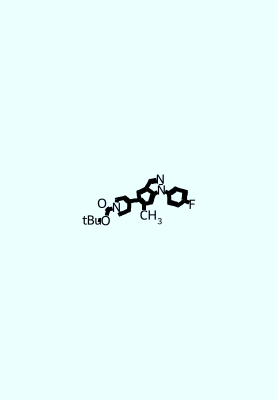 Cc1cc2c(cnn2-c2ccc(F)cc2)cc1C1=CCN(C(=O)OC(C)(C)C)CC1